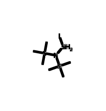 C[Si](C)(C)N([SiH2]I)S(C)(C)C